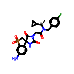 C[C@@H](C1CC1)N(Cc1ccc(F)cc1)C(=O)CN1C(=O)NC2(CS(=O)(=O)c3cc(N)ccc32)C1=O